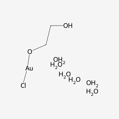 O.O.O.O.O.O.OCC[O][Au][Cl]